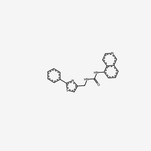 O=C(NCc1csc(-c2ccccc2)n1)Nc1cccc2cnccc12